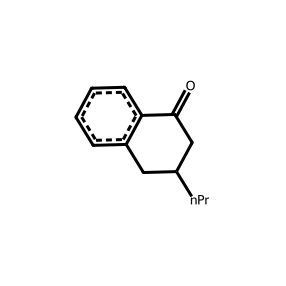 CCCC1CC(=O)c2ccccc2C1